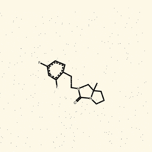 CC12CCCN1C(=O)N(CCc1ccc(F)cc1F)C2